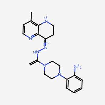 C=C(N/N=C1/CCNc2c(C)ccnc21)N1CCN(c2ccccc2N)CC1